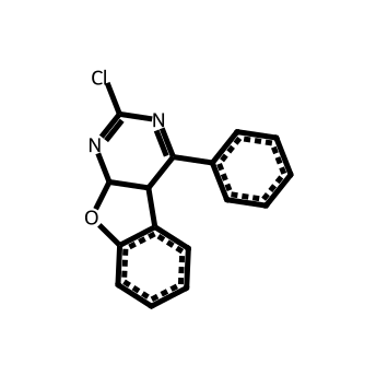 ClC1=NC2Oc3ccccc3C2C(c2ccccc2)=N1